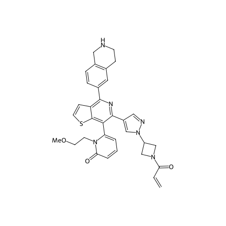 C=CC(=O)N1CC(n2cc(-c3nc(-c4ccc5c(c4)CCNC5)c4ccsc4c3-c3cccc(=O)n3CCOC)cn2)C1